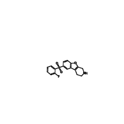 O=S(=O)(c1ccc2oc3c(c2c1)CCNC3)c1ccccc1F